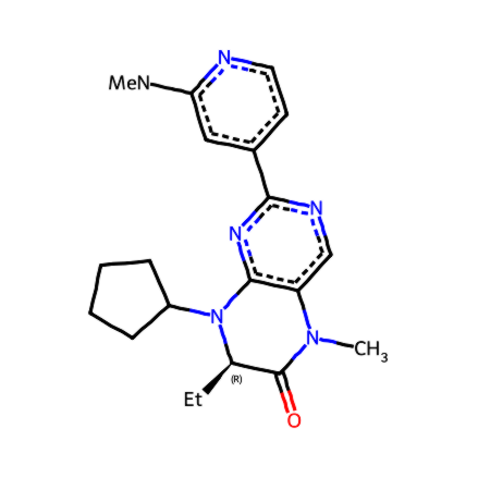 CC[C@@H]1C(=O)N(C)c2cnc(-c3ccnc(NC)c3)nc2N1C1CCCC1